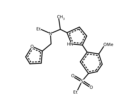 CCN(Cc1ccco1)C(C)c1ccc(-c2cc(S(=O)(=O)CC)ccc2OC)[nH]1